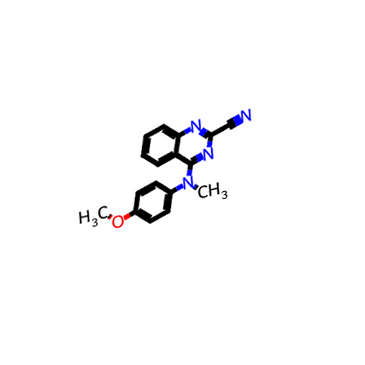 COc1ccc(N(C)c2nc(C#N)nc3ccccc23)cc1